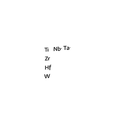 [Hf].[Nb].[Ta].[Ti].[W].[Zr]